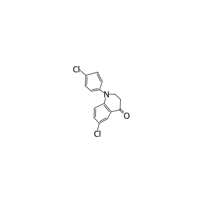 O=C1CCN(c2ccc(Cl)cc2)c2ccc(Cl)cc21